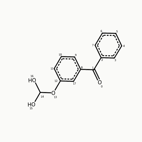 O=C(c1ccccc1)c1cccc(OC(O)O)c1